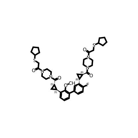 COc1c(-c2ccc(F)c([C@@H]3C[C@H]3C(=O)N3CCN(C(=O)CSC4CCCC4)CC3)c2)cccc1[C@H]1C[C@@H]1C(=O)N1CCN(C(=O)CSC2CCCC2)CC1